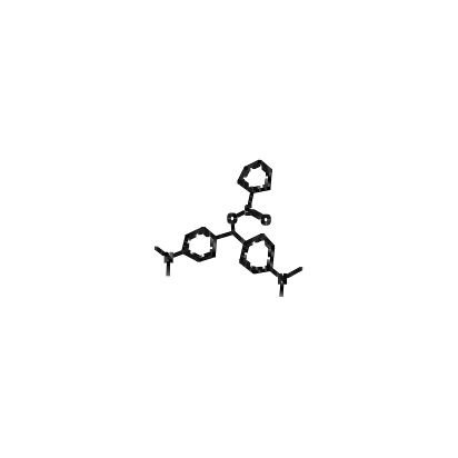 CN(C)c1ccc(C(OS(=O)c2ccccc2)c2ccc(N(C)C)cc2)cc1